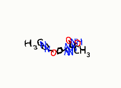 CN1CCN(CCOc2ccc(-c3nnc4c(n3)c(=O)[nH]c(=O)n4C)cc2)CC1